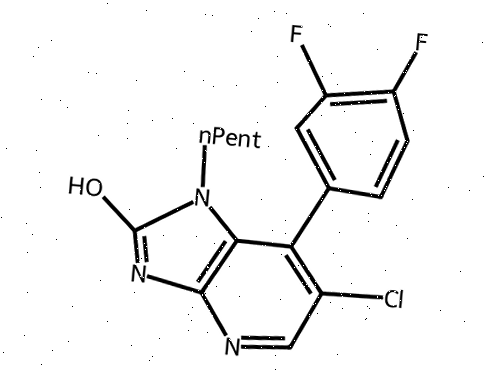 CCCCCn1c(O)nc2ncc(Cl)c(-c3ccc(F)c(F)c3)c21